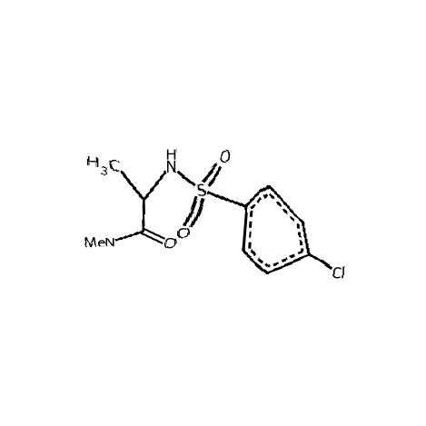 CNC(=O)C(C)NS(=O)(=O)c1ccc(Cl)cc1